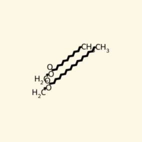 C=COC(=O)CCCCCCCCCCC.C=COC(=O)CCCCCCCCCCCCCCCCC